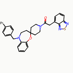 CC(C)c1ccc(CN2CCC3(CCN(C(=O)Cc4cccc5nsnc45)CC3)Oc3ccccc32)cc1